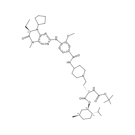 CC[C@@H]1C(=O)N(C)c2cnc(Nc3ccc(C(=O)NC4CCN(CC[C@H](NC(=O)OC(C)(C)C)C(=O)O[C@@H]5C[C@H](C)CC[C@H]5C(C)C)CC4)cc3OC)nc2N1C1CCCC1